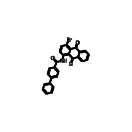 O=C(Nc1ccc(Br)c2c1C(=O)c1ccccc1C2=O)c1ccc(-c2ccccc2)cc1